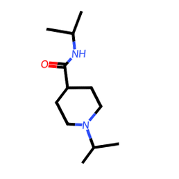 CC(C)NC(=O)C1CCN(C(C)C)CC1